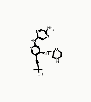 CC(C)(O)C#Cc1cnc(Nc2cnc(N)cn2)cc1NC[C@@H]1CNCCO1